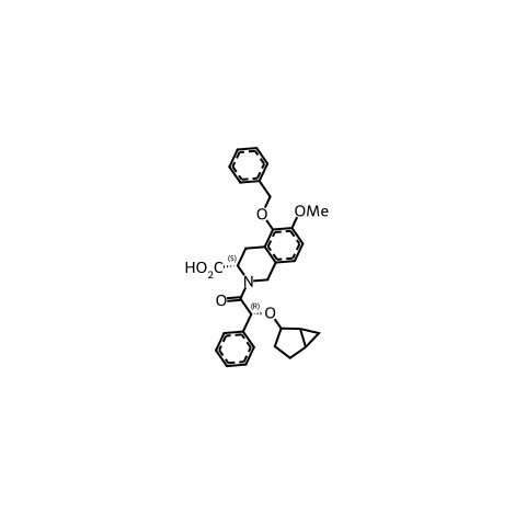 COc1ccc2c(c1OCc1ccccc1)C[C@@H](C(=O)O)N(C(=O)[C@H](OC1CCC3CC31)c1ccccc1)C2